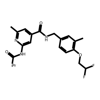 Cc1cc(C(=O)NCc2ccc(OCC(F)F)c(C)c2)cc(NC(=O)C(C)C)n1